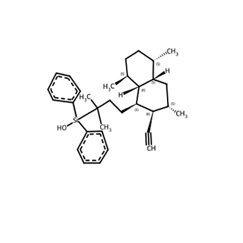 C#C[C@H]1[C@@H](CCC(C)(C)[Si](O)(c2ccccc2)c2ccccc2)[C@H]2[C@@H](C[C@@H]1C)[C@@H](C)CC[C@@H]2C